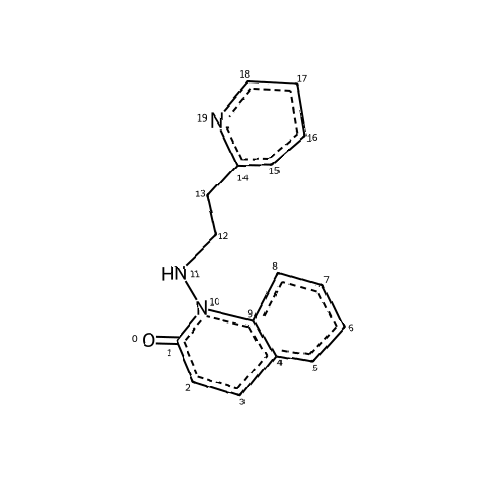 O=c1ccc2ccccc2n1NCCc1ccccn1